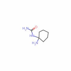 NC(=O)NC1(N)CCCCC1